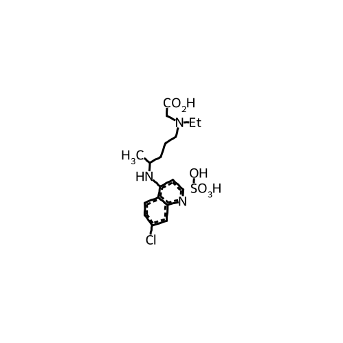 CCN(CCCC(C)Nc1ccnc2cc(Cl)ccc12)CC(=O)O.O=S(=O)(O)O